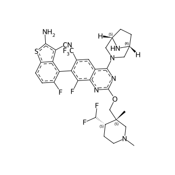 CN1CC[C@H](C(F)F)[C@](C)(COc2nc(N3C[C@H]4CC[C@@H](C3)N4)c3cc(C(F)(F)F)c(-c4c(F)ccc5sc(N)c(C#N)c45)c(F)c3n2)C1